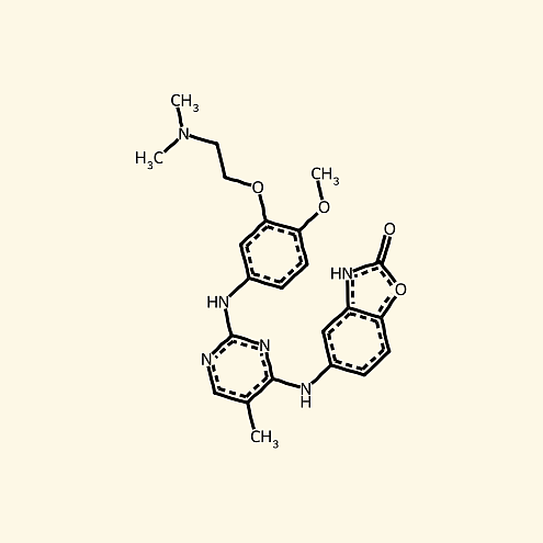 COc1ccc(Nc2ncc(C)c(Nc3ccc4oc(=O)[nH]c4c3)n2)cc1OCCN(C)C